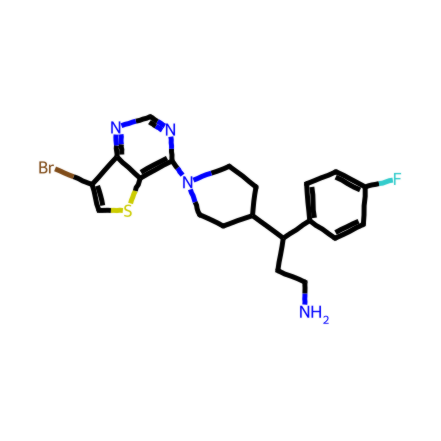 NCCC(c1ccc(F)cc1)C1CCN(c2ncnc3c(Br)csc23)CC1